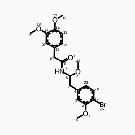 COc1cc(CC(NC(=O)Cc2ccc(OC)c(OC)c2)OC)ccc1Br